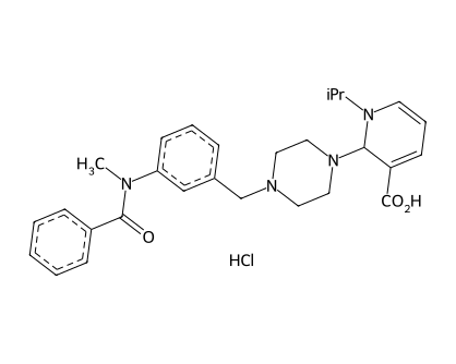 CC(C)N1C=CC=C(C(=O)O)C1N1CCN(Cc2cccc(N(C)C(=O)c3ccccc3)c2)CC1.Cl